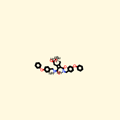 CCCCOC(=O)CC1C(CC(=O)O)C(C(=O)N(CCC)Cc2ccc(Oc3ccccc3)cc2)C1C(=O)N(CCC)Cc1ccc(Oc2ccccc2)cc1